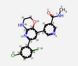 CNC(=O)c1cncc(-c2cc(-c3cc(Cl)ccc3F)nc3c2OCCN3)c1